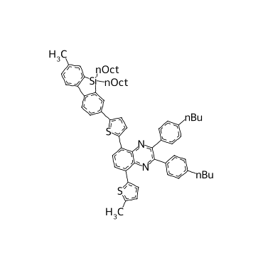 CCCCCCCC[Si]1(CCCCCCCC)c2cc(C)ccc2-c2ccc(-c3ccc(-c4ccc(-c5ccc(C)s5)c5nc(-c6ccc(CCCC)cc6)c(-c6ccc(CCCC)cc6)nc45)s3)cc21